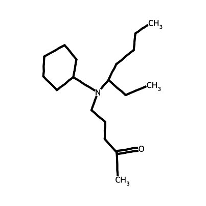 CCCCC(CC)N(CCCC(C)=O)C1CCCCC1